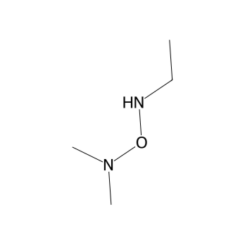 CCNON(C)C